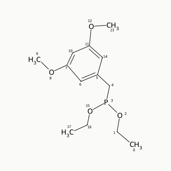 CCOP(Cc1cc(OC)cc(OC)c1)OCC